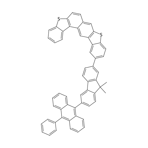 CC1(C)c2ccc(-c3c4ccccc4c(-c4ccccc4)c4ccccc34)cc2-c2ccc(-c3ccc4sc5cc6ccc7sc8ccccc8c7c6cc5c4c3)cc21